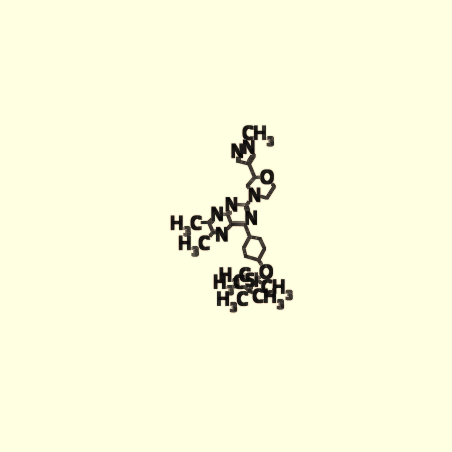 Cc1nc2nc(N3CCOC(c4cnn(C)c4)C3)nc(C3CCC(O[Si](C)(C)C(C)(C)C)CC3)c2nc1C